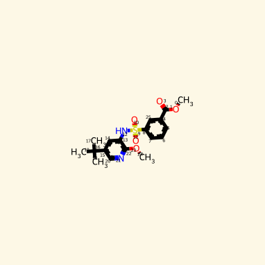 COC(=O)c1cccc(S(=O)(=O)Nc2cc(C(C)(C)C)cnc2OC)c1